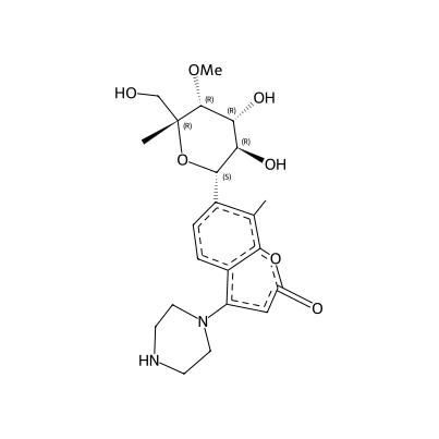 CO[C@@H]1[C@H](O)[C@@H](O)[C@H](c2ccc3c(N4CCNCC4)cc(=O)oc3c2C)O[C@]1(C)CO